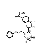 COC(=O)c1ccc([C@H](C)NC(=O)[C@H]2C[C@@H]3C[C@@H]3CN2CCOc2ccccc2)cc1